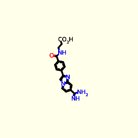 N=C(N)c1ccn2cc(-c3ccc(C(=O)NCCC(=O)O)cc3)nc2c1